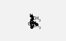 COc1ccccc1C=CC(=O)N(Cc1ccc(N(C)c2ccncc2)cc1)C1CCN(Cc2ccccc2)CC1